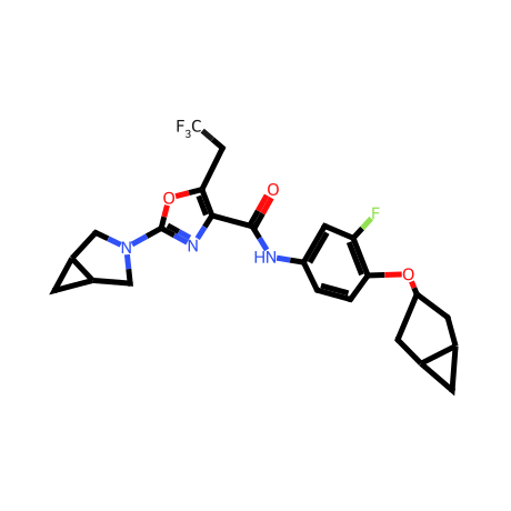 O=C(Nc1ccc(OC2CC3CC3C2)c(F)c1)c1nc(N2CC3CC3C2)oc1CC(F)(F)F